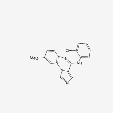 COc1ccc2nc(Nc3ccccc3Cl)c3cncn3c2c1